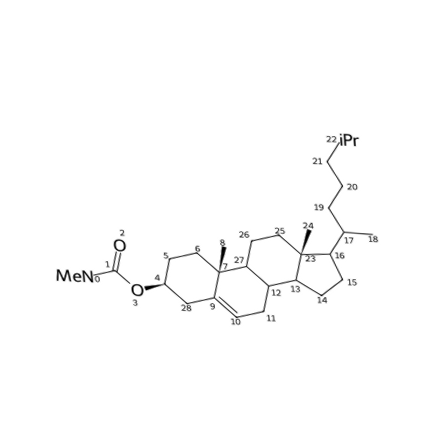 CNC(=O)O[C@H]1CC[C@@]2(C)C(=CCC3C4CCC(C(C)CCCC(C)C)[C@@]4(C)CCC32)C1